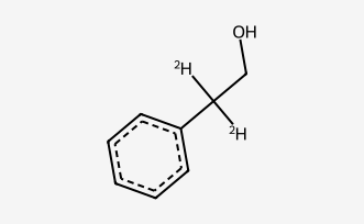 [2H]C([2H])(CO)c1ccccc1